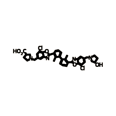 Cc1c(-c2nc3cc(CN4CCC(O)C4)cc(Cl)c3o2)cccc1-c1cccc(-c2nc3cc(CN4CCC(C(=O)O)C4)cc(Cl)c3o2)c1C